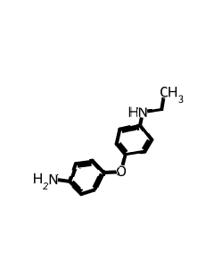 CCNc1ccc(Oc2ccc(N)cc2)cc1